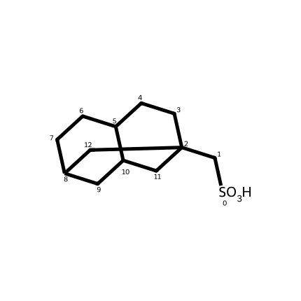 O=S(=O)(O)CC12CCC3CCC(CC3C1)C2